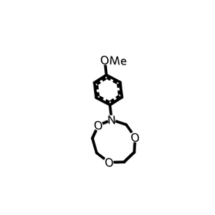 COc1ccc(N2COCCOCCO2)cc1